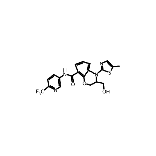 Cc1cnc(N2c3cccc(C(=O)Nc4ccc(C(F)(F)F)nc4)c3OCC2CO)s1